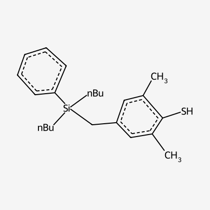 CCCC[Si](CCCC)(Cc1cc(C)c(S)c(C)c1)c1ccccc1